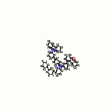 c1ccc(-c2cccc(-c3cccc(N(c4ccc(-c5cccc(-n6c7ccccc7c7ccccc76)c5)cc4)c4cccc(-c5cccc6oc7ccccc7c56)c4)c3)c2)cc1